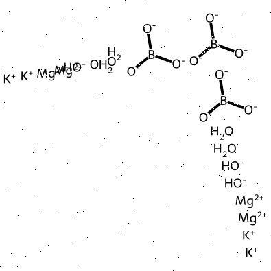 O.O.O.O.[K+].[K+].[K+].[K+].[Mg+2].[Mg+2].[Mg+2].[Mg+2].[O-]B([O-])[O-].[O-]B([O-])[O-].[O-]B([O-])[O-].[OH-].[OH-].[OH-]